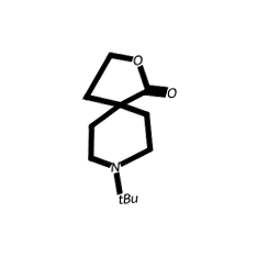 CC(C)(C)N1CCC2(CCOC2=O)CC1